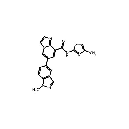 Cc1csc(NC(=O)c2cc(-c3ccc4c(cnn4C)c3)cn3ccnc23)n1